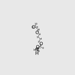 CC(OCCCCOCC1CO1)O[SiH](C)C